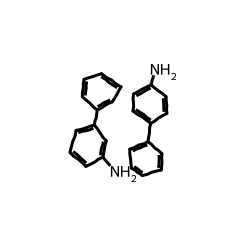 Nc1ccc(-c2ccccc2)cc1.Nc1cccc(-c2ccccc2)c1